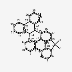 CC1(C)c2cccc3c4ccc[n+]5c4c4c(ccc1c4c23)C1c2cnccc2-c2cccc[n+]2C15